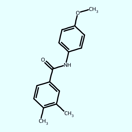 COc1ccc(NC(=O)c2ccc(C)c(C)c2)cc1